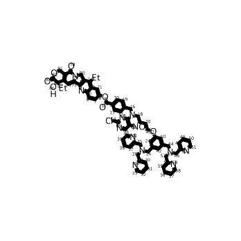 CCc1c2c(nc3ccc(OC(=O)c4ccc(CN(CCCCOc5cc(CN(Cc6ccccn6)Cc6ccccn6)cc(CN(Cc6ccccn6)Cc6ccccn6)c5)c5nc(Cl)ncc5[N+](=O)[O-])cc4)cc13)-c1cc3c(c(=O)n1C2)COC(=O)[C@]3(O)CC